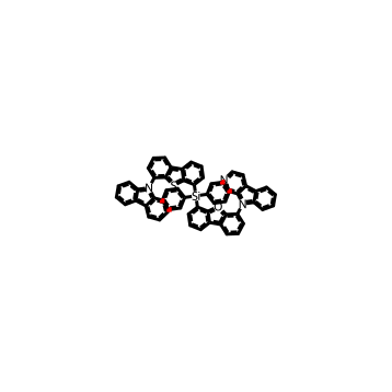 c1ccc([Si](c2ccccc2)(c2cccc3c2oc2c(-n4c5ccccc5c5ccncc54)cccc23)c2cccc3c2sc2c(-n4c5ccccc5c5ccccc54)cccc23)cc1